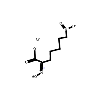 O=C([O-])/C(CCCCC[N+](=O)[O-])=N\O.[Li+]